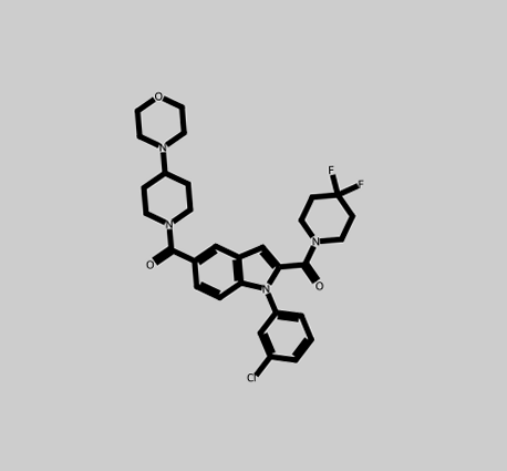 O=C(c1ccc2c(c1)cc(C(=O)N1CCC(F)(F)CC1)n2-c1cccc(Cl)c1)N1CCC(N2CCOCC2)CC1